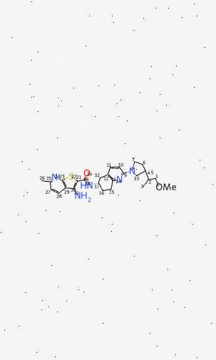 COCC(C)[C@]1(C)CCN(c2ccc3c(n2)CC[C@H](NC(=O)c2sc4nc(C)ccc4c2N)C3)C1